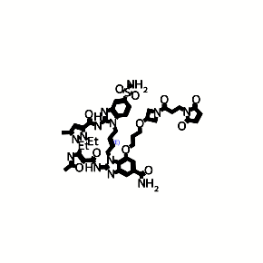 CCc1nc(C)oc1C(=O)Nc1nc2cc(C(N)=O)cc(OCCCOC3CN(C(=O)CCN4C(=O)C=CC4=O)C3)c2n1C/C=C/Cn1c(NC(=O)c2cc(C)nn2CC)nc2cc(S(N)(=O)=O)ccc21